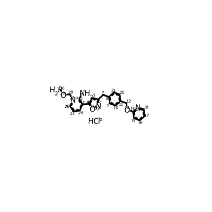 Cl.Nc1c(-c2cc(Cc3ccc(COc4ccccn4)cc3)no2)ccc[n+]1COP